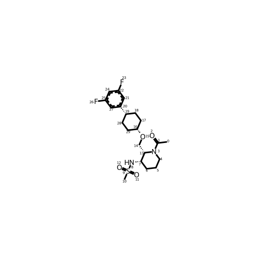 CC(=O)N1CCC[C@H](NS(C)(=O)=O)[C@@H]1CO[C@H]1CC[C@@H](c2cc(F)cc(F)c2)CC1